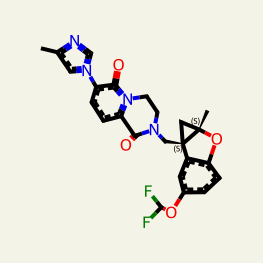 Cc1cn(-c2ccc3n(c2=O)CCN(C[C@@]24C[C@]2(C)Oc2ccc(OC(F)F)cc24)C3=O)cn1